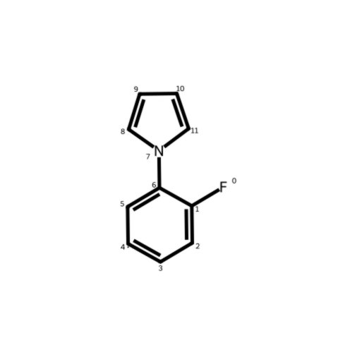 Fc1cc[c]cc1-n1cccc1